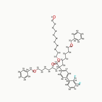 O=CCCCCCCCCCCOC(=O)C(CCCCCCOCc1ccccc1)(CCCCCCOCc1ccccc1)c1ccc(-c2cccc(F)c2F)cc1